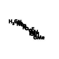 COCCNC(=O)Nc1c(F)cc(C2CCC(=NOC3CCN(c4ncc(C)cn4)CC3)CC2)cc1F